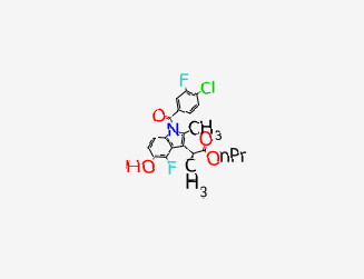 CCCOC(=O)[C@@H](C)c1c(C)n(C(=O)c2ccc(Cl)c(F)c2)c2ccc(O)c(F)c12